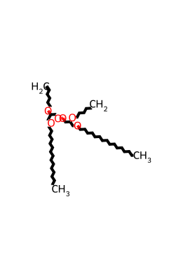 C=CCCCCOC(COCCCCCCCCCCCCCCCC)COOCC(COCCCCCCCCCCCCCCCC)OCCCCC=C